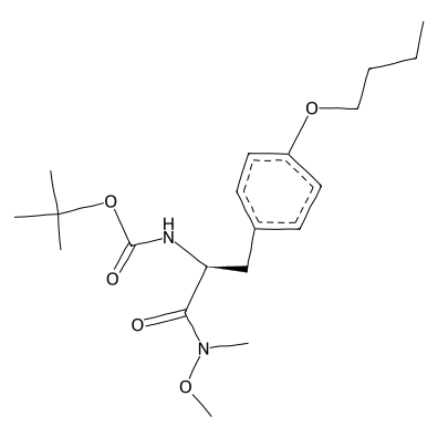 CCCCOc1ccc(C[C@H](NC(=O)OC(C)(C)C)C(=O)N(C)OC)cc1